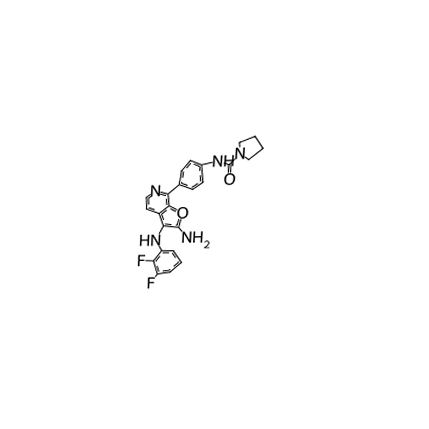 Nc1oc2c(-c3ccc(NC(=O)N4CCCC4)cc3)nccc2c1Nc1cccc(F)c1F